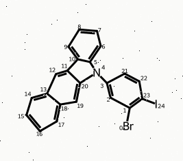 Brc1cc(-n2c3ccccc3c3cc4ccccc4cc32)ccc1I